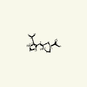 CC(=O)N1CCN/C(=C\c2nc[nH]c2C(C)C)C1